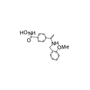 C=C(NCc1ccccc1OC)c1ccc(C(=O)NO)cc1